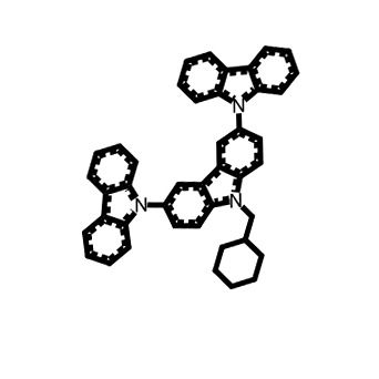 c1ccc2c(c1)c1ccccc1n2-c1ccc2c(c1)c1cc(-n3c4ccccc4c4ccccc43)ccc1n2CC1CCCCC1